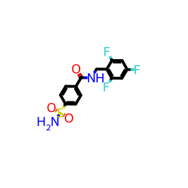 NS(=O)(=O)c1ccc(C(=O)NCc2c(F)cc(F)cc2F)cc1